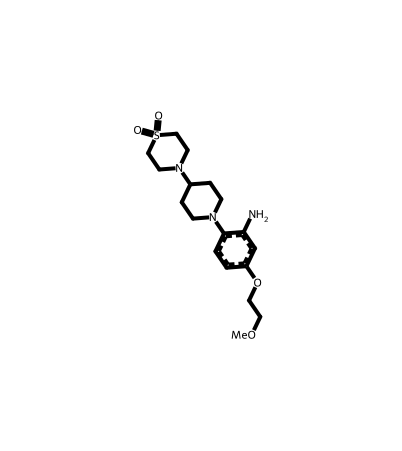 COCCOc1ccc(N2CCC(N3CCS(=O)(=O)CC3)CC2)c(N)c1